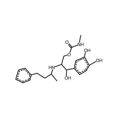 CNC(=O)OCC(NC(C)CCc1ccccc1)C(O)c1ccc(O)c(O)c1